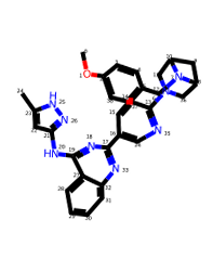 COc1ccc(CN2C3CC2CN(c2ccc(-c4nc(Nc5cc(C)[nH]n5)c5ccccc5n4)cn2)C3)cc1